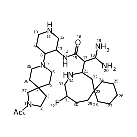 CC(=O)N1CCC2(CCN(C3CCNCC3NC(=O)C(C(N)N)C3CC4(CCCCC4)CCC(F)CN3)CC2)C1